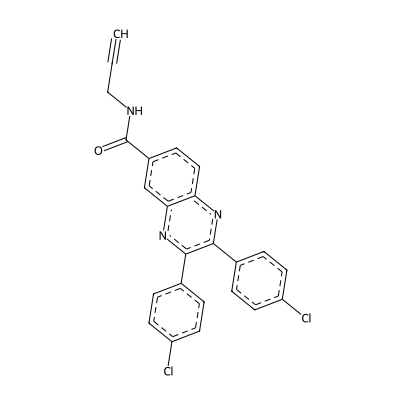 C#CCNC(=O)c1ccc2nc(-c3ccc(Cl)cc3)c(-c3ccc(Cl)cc3)nc2c1